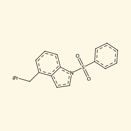 CC(C)Cc1cccc2c1ccn2S(=O)(=O)c1ccccc1